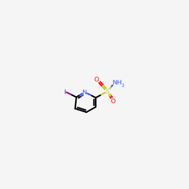 NS(=O)(=O)c1cccc(I)n1